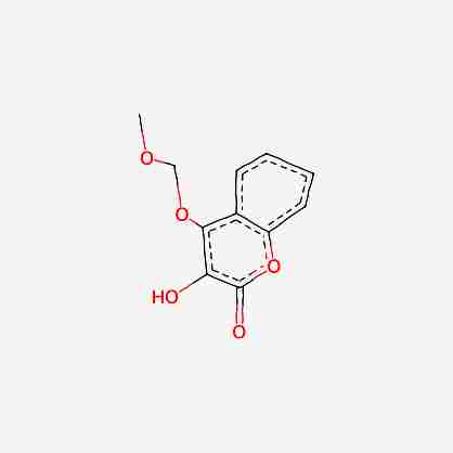 COCOc1c(O)c(=O)oc2ccccc12